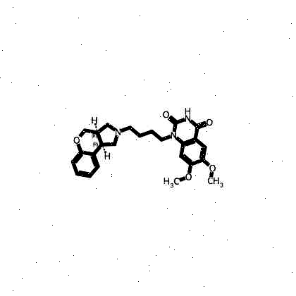 COc1cc2c(=O)[nH]c(=O)n(CCCCN3C[C@@H]4COc5ccccc5[C@@H]4C3)c2cc1OC